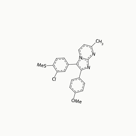 COc1ccc(-c2nc3nc(C)ccn3c2-c2ccc(SC)c(Cl)c2)cc1